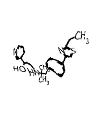 CCc1nc(-c2ccc(CC(C)(C)NCC(O)c3cccnc3)cc2)cs1